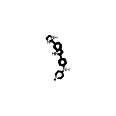 CN1CCC(Nc2ccc(-c3cc4ccc(C5=NCCN5)cc4[nH]3)cc2)CC1